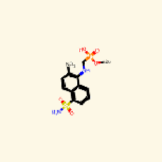 CCC(C)OP(=O)(O)CNc1c([N+](=O)[O-])ccc2c(S(N)(=O)=O)cccc12